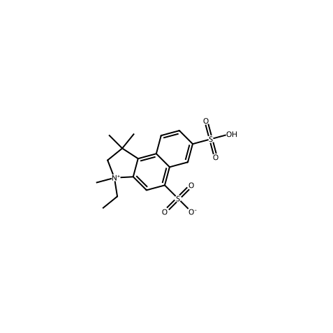 CC[N+]1(C)CC(C)(C)c2c1cc(S(=O)(=O)[O-])c1cc(S(=O)(=O)O)ccc21